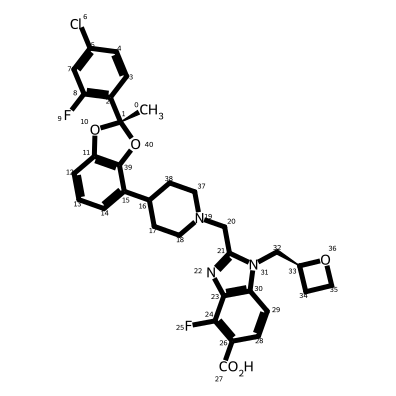 C[C@]1(c2ccc(Cl)cc2F)Oc2cccc(C3CCN(Cc4nc5c(F)c(C(=O)O)ccc5n4C[C@@H]4CCO4)CC3)c2O1